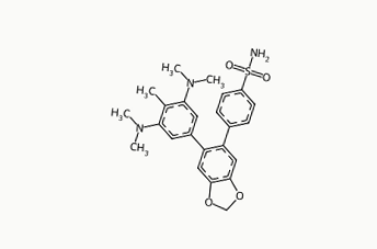 Cc1c(N(C)C)cc(-c2cc3c(cc2-c2ccc(S(N)(=O)=O)cc2)OCO3)cc1N(C)C